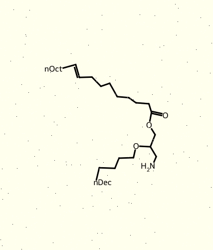 CCCCCCCCC=CCCCCCCCC(=O)OCC(CN)OCCCCCCCCCCCCCC